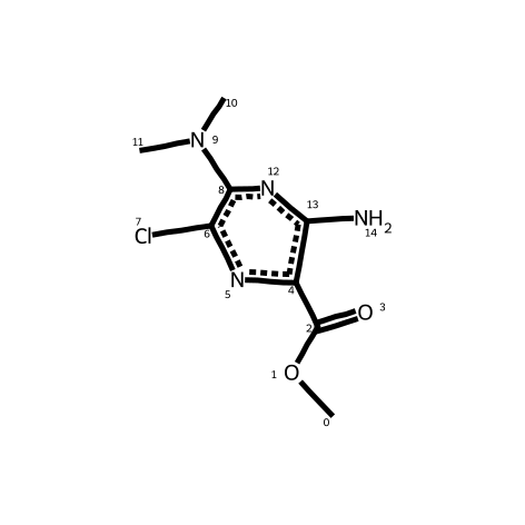 COC(=O)c1nc(Cl)c(N(C)C)nc1N